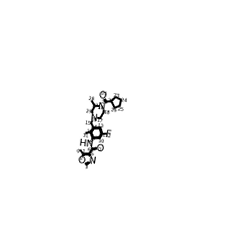 Cc1ocnc1C(=O)Nc1cc(F)cc(CN2CCN(C(=O)C3CCCC3)C(C)C2)c1C